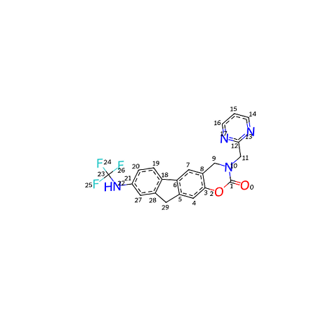 O=C1Oc2cc3c(cc2CN1Cc1ncccn1)-c1ccc(NC(F)(F)F)cc1C3